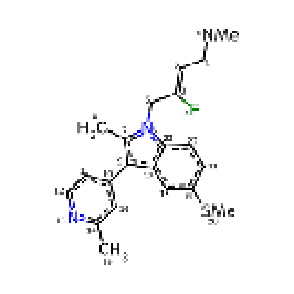 CNC/C=C(\F)Cn1c(C)c(-c2ccnc(C)c2)c2cc(SC)ccc21